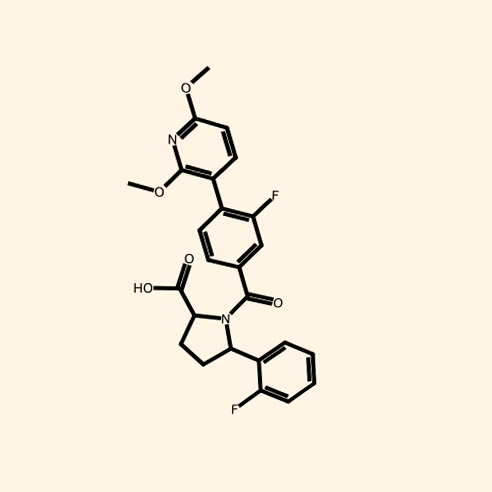 COc1ccc(-c2ccc(C(=O)N3C(C(=O)O)CCC3c3ccccc3F)cc2F)c(OC)n1